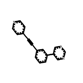 C(#Cc1cccc(-c2cncnc2)c1)c1ccncc1